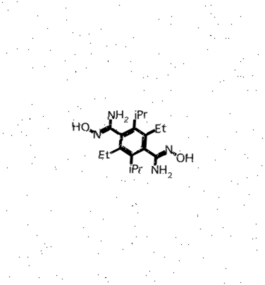 CCc1c(/C(N)=N/O)c(C(C)C)c(CC)c(/C(N)=N/O)c1C(C)C